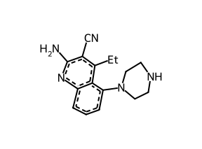 CCc1c(C#N)c(N)nc2cccc(N3CCNCC3)c12